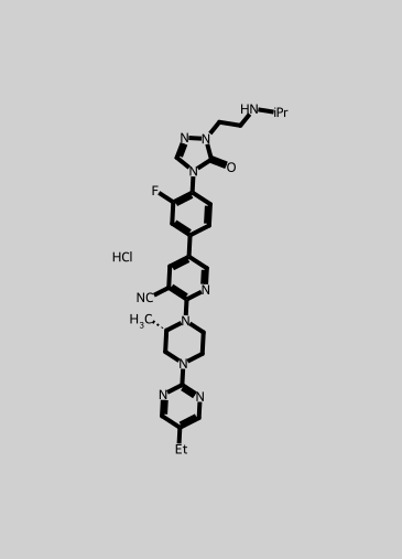 CCc1cnc(N2CCN(c3ncc(-c4ccc(-n5cnn(CCNC(C)C)c5=O)c(F)c4)cc3C#N)[C@@H](C)C2)nc1.Cl